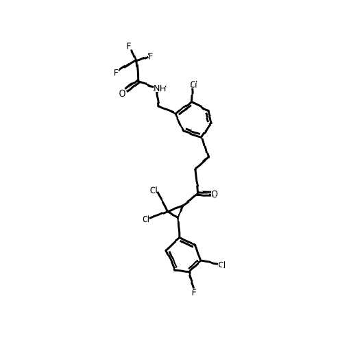 O=C(CCc1ccc(Cl)c(CNC(=O)C(F)(F)F)c1)C1C(c2ccc(F)c(Cl)c2)C1(Cl)Cl